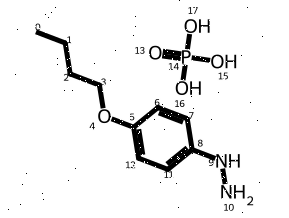 CCCCOc1ccc(NN)cc1.O=P(O)(O)O